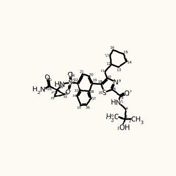 CC(C)(O)CNC(=O)c1nc(CC2CCCCC2)c(-c2ccc(S(=O)(=O)NC3(C(N)=O)CC3)c3ccccc23)s1